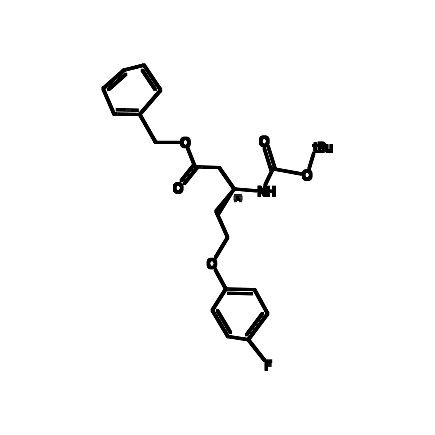 CC(C)(C)OC(=O)N[C@@H](CCOc1ccc(F)cc1)CC(=O)OCc1ccccc1